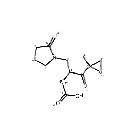 CC1(C(=O)C(CN2CCCC2=O)NC(=O)O)CO1